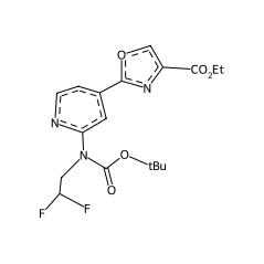 CCOC(=O)c1coc(-c2ccnc(N(CC(F)F)C(=O)OC(C)(C)C)c2)n1